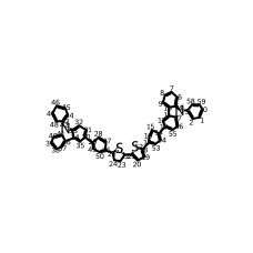 c1ccc(-n2c3ccccc3c3cc(-c4ccc(-c5ccc(C6CCC(c7ccc(-c8ccc9c(c8)c8ccccc8n9-c8ccccc8)cc7)S6)s5)cc4)ccc32)cc1